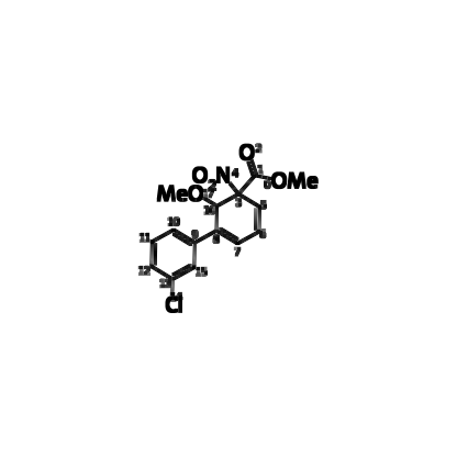 COC(=O)C1([N+](=O)[O-])C=CC=C(c2cccc(Cl)c2)C1OC